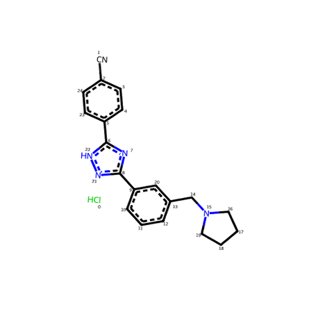 Cl.N#Cc1ccc(-c2nc(-c3cccc(CN4CCCC4)c3)n[nH]2)cc1